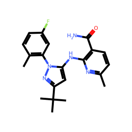 Cc1ccc(C(N)=O)c(Nc2cc(C(C)(C)C)nn2-c2cc(F)ccc2C)n1